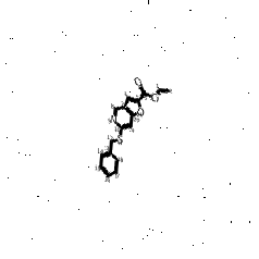 CCOC(=O)c1cc2cnc(SCc3ccccc3)cc2o1